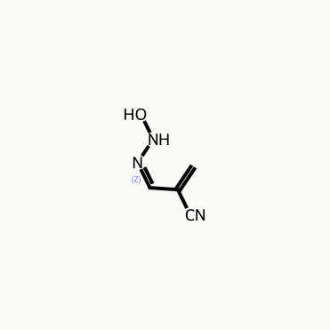 C=C(C#N)/C=N\NO